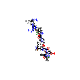 Cc1ncsc1-c1ccc(CNC(=O)[C@@H]2C[C@@H](O)CN2C(=O)[C@@H](NC(=O)C2(F)CC2)C(C)(C)C)c(OCCN2CCN(C(=O)CC(=O)Nc3cccc(Sc4ncc(N5CCC(C)(CN)CC5)nc4N)c3Cl)CC2)c1